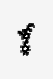 C=CC(=O)Nc1ccc(OCC2CCC(F)(F)CC2)cc1C#N